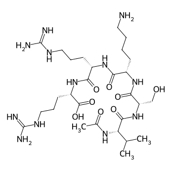 CC(=O)N[C@H](C(=O)N[C@@H](CO)C(=O)N[C@@H](CCCCN)C(=O)N[C@@H](CCCNC(=N)N)C(=O)N[C@@H](CCCNC(=N)N)C(=O)O)C(C)C